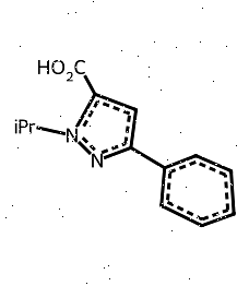 CC(C)n1nc(-c2ccccc2)cc1C(=O)O